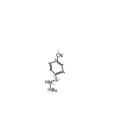 CCCCNSc1ccc(C#N)cc1